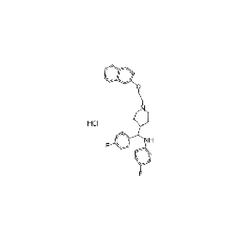 Cl.Fc1ccc(NC(c2ccc(F)cc2)C2CCN(CCOc3ccc4ccccc4c3)CC2)cc1